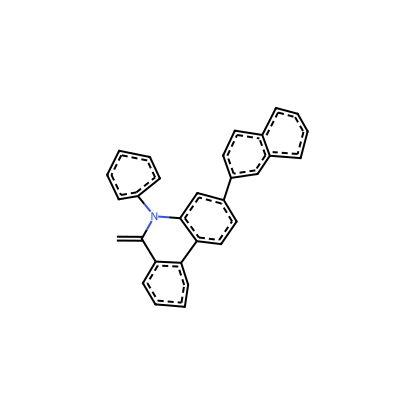 C=C1c2ccccc2-c2ccc(-c3ccc4ccccc4c3)cc2N1c1ccccc1